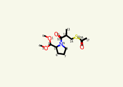 COC(OC)C1CCCN1C(=O)C(C)CSC(C)=O